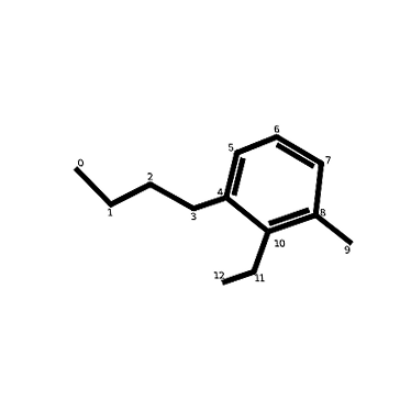 CCCCc1cccc(C)c1CC